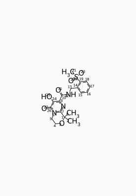 CC1(C)OCCn2c1nc(C(=O)NCc1ccccc1S(C)(=O)=O)c(O)c2=O